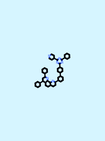 c1ccc(-c2cc(-c3ccccc3)c3ccc4ccc(-c5cccc(-c6ccc(-c7nc(-c8ccccc8)nc(-c8ccncc8)n7)cc6)c5)nc4c3n2)cc1